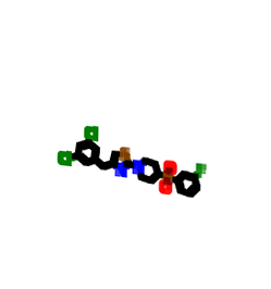 O=S(=O)(c1cccc(F)c1)C1CCN(c2nc(Cc3cc(Cl)cc(Cl)c3)cs2)CC1